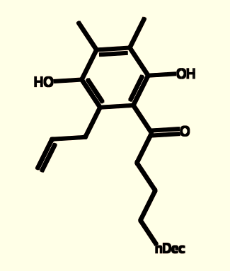 C=CCc1c(O)c(C)c(C)c(O)c1C(=O)CCCCCCCCCCCCC